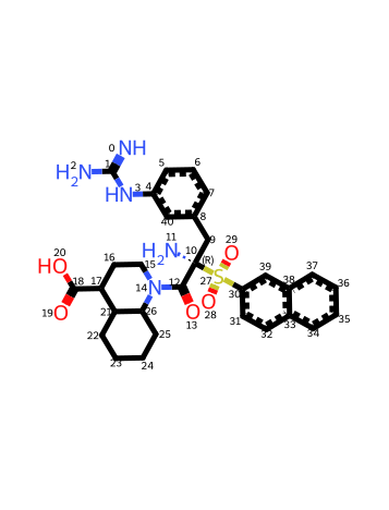 N=C(N)Nc1cccc(C[C@](N)(C(=O)N2CCC(C(=O)O)C3CCCCC32)S(=O)(=O)c2ccc3ccccc3c2)c1